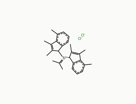 CC1=C(C)[CH]([Ti+2](=[C](C)C)[CH]2C(C)=C(C)c3c(C)cccc32)c2cccc(C)c21.[Cl-].[Cl-]